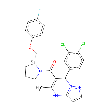 CC1=C(C(=O)N2CCC[C@@H]2COc2ccc(F)cc2)C(c2ccc(Cl)c(Cl)c2)n2nccc2N1